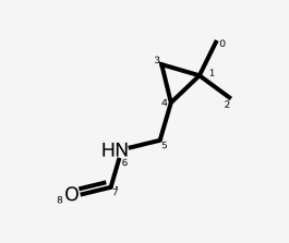 CC1(C)CC1CN[C]=O